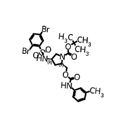 Cc1cccc(NC(=O)OC[C@H]2C[C@@H](NS(=O)(=O)c3cc(Br)ccc3Br)CN2C(=O)OC(C)(C)C)c1